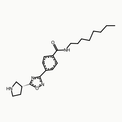 CCCCCCCCNC(=O)c1ccc(-c2noc([C@@H]3CCNC3)n2)cc1